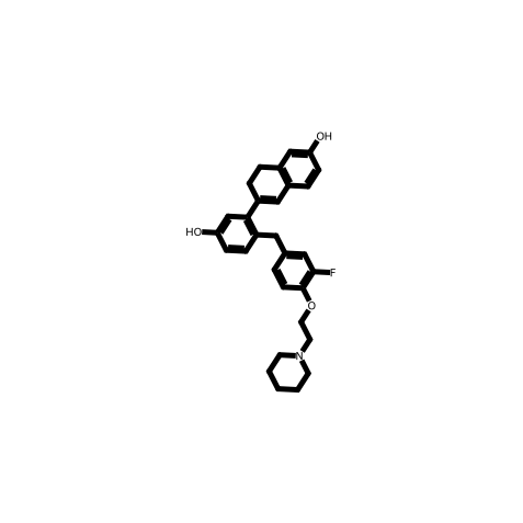 Oc1ccc2c(c1)CCC(c1cc(O)ccc1Cc1ccc(OCCN3CCCCC3)c(F)c1)=C2